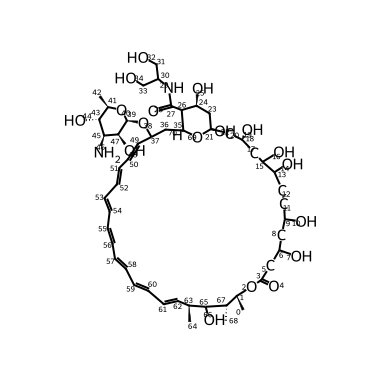 C[C@@H]1OC(=O)CC(O)CC(O)CCC(O)C(O)C[C@H](O)CC2(O)C[C@H](O)C(C(=O)NC(CO)CO)[C@H](CC(O[C@@H]3O[C@H](C)[C@@H](O)[C@H](N)[C@@H]3O)/C=C/C=C/C=C/C=C/C=C/C=C/C=C/[C@H](C)C(O)[C@H]1C)O2